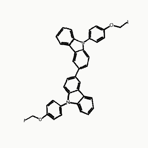 ICOc1ccc(-n2c3ccccc3c3cc(-c4ccc5c(c4)c4ccccc4n5-c4ccc(OCI)cc4)ccc32)cc1